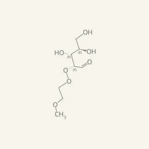 COCCOO[C@@H](C=O)[C@H](O)[C@H](O)CO